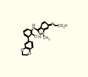 Cn1[nH]c(Nc2cccc(-c3ccc4c(c3)OCCO4)c2Cl)c2ccc(=NCC(=O)O)cc1-2